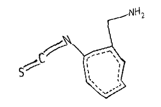 NCc1ccccc1N=C=S